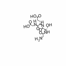 NCC(=O)N[C@@H](CO)C(=O)N[C@@H](CCC(=O)O)C(=O)NCC(=O)O